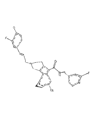 N#Cc1ccc2c3c(n(C(=O)NCc4ccnc(F)c4)c2c1)CCN(CC=Cc1ccc(Cl)c(F)c1)C3